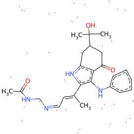 CC(=O)NC/N=C\C=C(/C)c1[nH]c2c(c1Nc1ccccc1)C(=O)CC(C(C)(C)O)C2